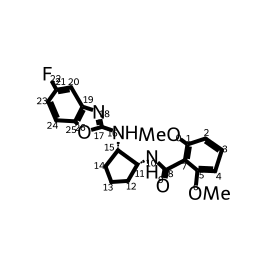 COc1cccc(OC)c1C(=O)N[C@@H]1CCC[C@@H]1Nc1nc2cc(F)ccc2o1